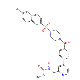 CC(C)(C)OC(=O)[NH+]([O-])Cc1cc(-c2ccc(C(=O)N3CCN(S(=O)(=O)c4ccc5cc(Cl)ccc5c4)CC3)cc2)ccn1